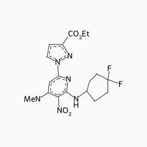 CCOC(=O)c1ccn(-c2cc(NC)c([N+](=O)[O-])c(NC3CCC(F)(F)CC3)n2)n1